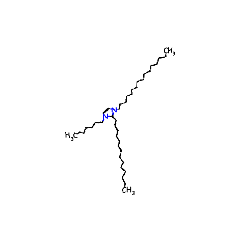 CCCCCCCCCCCCCCCCN1C=CN(CCCCCCC)C1CCCCCCCCCCCCCC